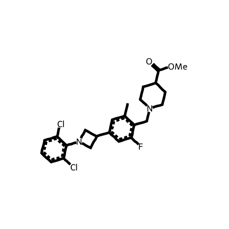 COC(=O)C1CCN(Cc2c(C)cc(C3CN(c4c(Cl)cccc4Cl)C3)cc2F)CC1